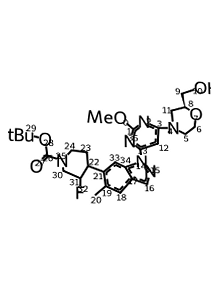 COc1nc(N2CCO[C@H](CO)C2)cc(-n2ncc3cc(C)c(C4CCN(C(=O)OC(C)(C)C)CC4F)cc32)n1